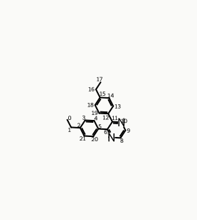 CCc1ccc(-c2nccnc2-c2ccc(CC)cc2)cc1